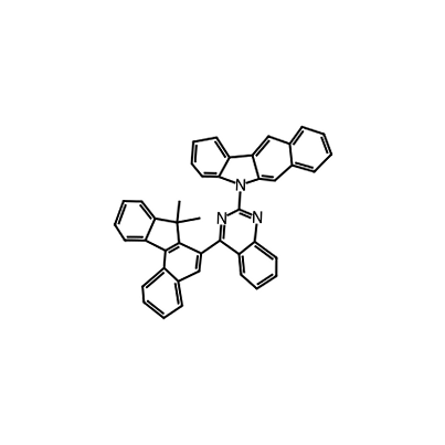 CC1(C)c2ccccc2-c2c1c(-c1nc(-n3c4ccccc4c4cc5ccccc5cc43)nc3ccccc13)cc1ccccc21